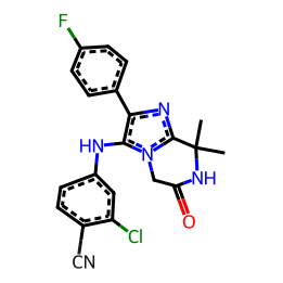 CC1(C)NC(=O)Cn2c1nc(-c1ccc(F)cc1)c2Nc1ccc(C#N)c(Cl)c1